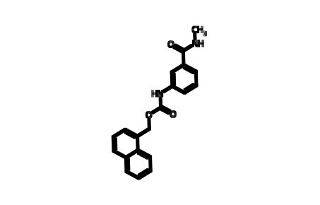 CNC(=O)c1cccc(NC(=O)OCc2cccc3ccccc23)c1